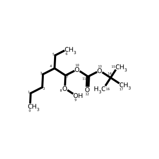 CCCCC(CC)C(OO)OC(=O)OC(C)(C)C